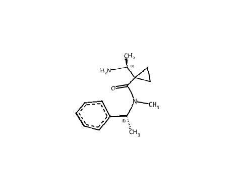 C[C@H](c1ccccc1)N(C)C(=O)C1([C@H](C)N)CC1